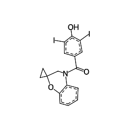 O=C(c1cc(I)c(O)c(I)c1)N1CC2(CC2)Oc2ccccc21